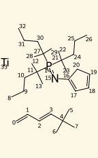 C=CC=CC(C)(C)C.CCCC(C)(C)P(=NC1=CC=CC1)(C(C)(C)CCC)C(C)(C)CCC.[Ti]